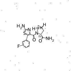 NC(=O)[C@@H]1C[C@H]2C[C@@H]2N1C(=O)c1nc(N)sc1-c1cccc(F)c1